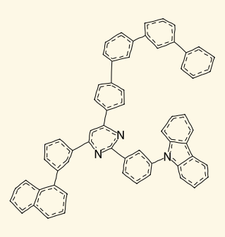 c1ccc(-c2cccc(-c3cccc(-c4ccc(-c5cc(-c6cccc(-c7cccc8ccccc78)c6)nc(-c6cccc(-n7c8ccccc8c8ccccc87)c6)n5)cc4)c3)c2)cc1